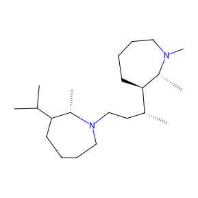 CC(C)C1CCCCN(CC[C@@H](C)[C@H]2CCCCN(C)[C@@H]2C)[C@H]1C